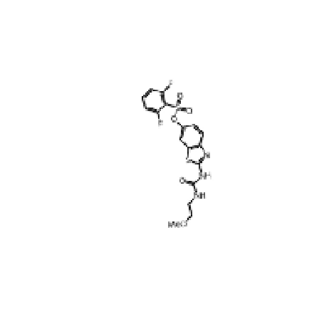 COCCNC(=O)Nc1nc2ccc(OS(=O)(=O)c3c(F)cccc3F)cc2s1